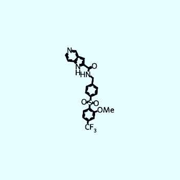 COc1cc(C(F)(F)F)ccc1S(=O)(=O)c1ccc(CNC(=O)c2cc3cnccc3[nH]2)cc1